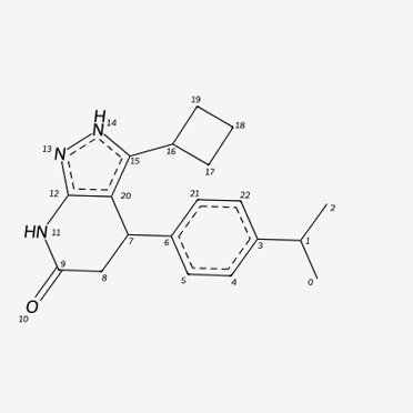 CC(C)c1ccc(C2CC(=O)Nc3n[nH]c(C4CCC4)c32)cc1